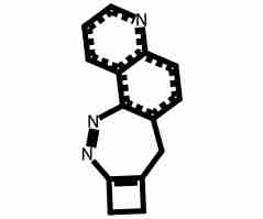 c1cnc2ccc3c(c2c1)N=NC1=C(CC1)C3